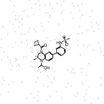 CC(O)N1c2ccc(-c3cccc(NS(C)(=O)=O)c3)cc2N(C(=O)C2CCC2)C[C@@H]1C